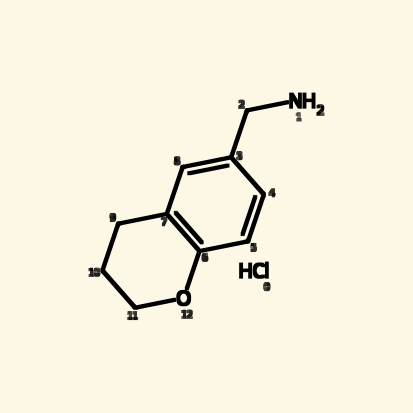 Cl.NCc1ccc2c(c1)CCCO2